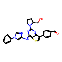 O=Cc1ccc(-c2csc3c(Nc4cn(-c5ccccc5)cn4)nc(N4CCC[C@H]4CO)nc23)cc1